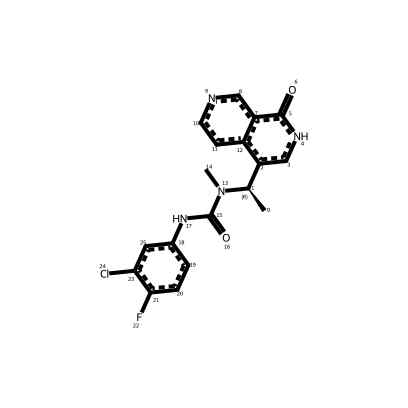 C[C@H](c1c[nH]c(=O)c2cnccc12)N(C)C(=O)Nc1ccc(F)c(Cl)c1